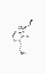 CCCCC1C(CCOC)=CC=CC1(CCCC(C)C)C(=O)O